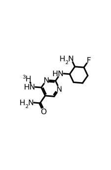 [3H]Nc1nc(NC2CCCC(F)C2N)ncc1C(N)=O